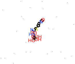 N#C/C(=C\c1ccc(-c2ccc3cc(N4CCOCC4)ccc3c2)s1)S(=O)(=O)NC[C@H]1OC[C@H](O)[C@@H](O)[C@@H]1O